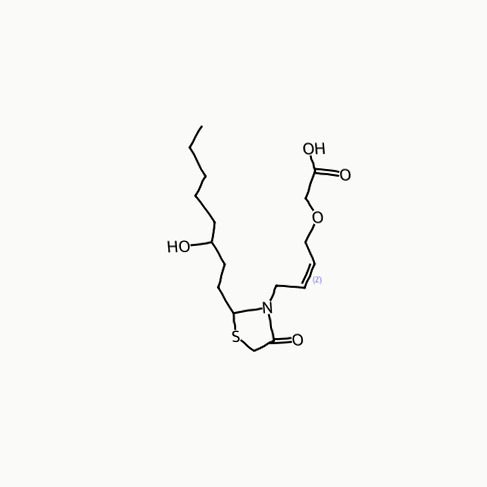 CCCCCC(O)CCC1SCC(=O)N1C/C=C\COCC(=O)O